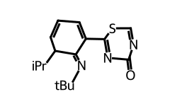 CC(C)C1C=CC=C(c2nc(=O)ncs2)C1=NC(C)(C)C